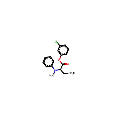 CN(c1ccccc1)C(CC(=O)O)C(=O)Oc1cccc(Cl)c1